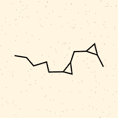 CCCCCC1CC1CC1CC1C